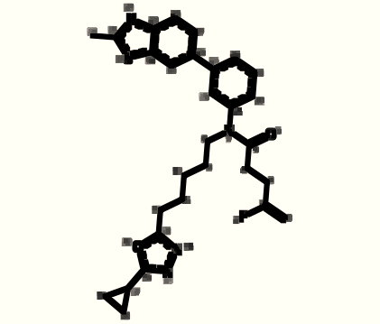 C=C(F)CCC(=O)N(CCCCCc1nnc(C2CC2)o1)c1cccc(-c2ccc3nc(C)sc3c2)c1